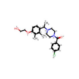 Cc1c(OCCO)ccc(C(C)N2CCN(C(=O)c3ccc(Cl)cc3)CC2)c1C